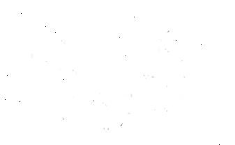 CC[C@H](C)C([C@@H](CC(=O)N1CCC[C@H]1[C@H](OC)[C@@H](C)C(=O)N[C@@H](Cc1ccccc1)C(=O)O)OC)N(C)C(=O)C(I)NC(=O)[C@H](C(C)C)N(C)C